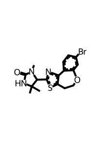 CN1C(=O)NC(C)(C)C1c1nc2c(s1)CCOc1cc(Br)ccc1-2